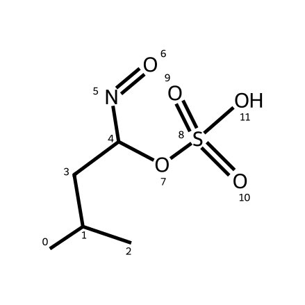 CC(C)CC(N=O)OS(=O)(=O)O